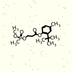 COP(C)(=O)OCCC(=O)Oc1ccc(C)cc1C(C)(C)C